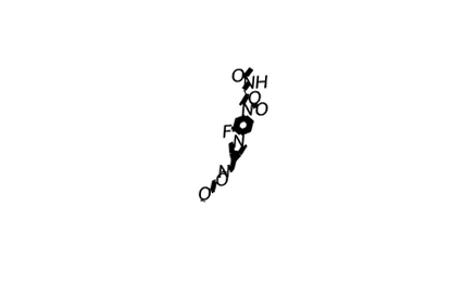 COCCON=CC1C2CN(c3ccc(N4C[C@H](CNC(C)=O)OC4=O)cc3F)CC12